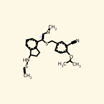 C=CSNC1CCc2c(/C(=C/N=C)SCc3ccc(OC(C)C)c(C#N)c3)cccc21